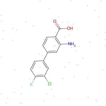 Nc1cc(-c2ccc(F)c(Cl)c2)ccc1C(=O)O